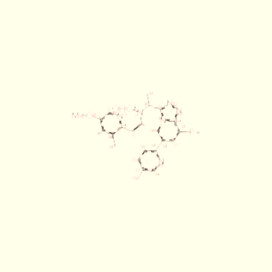 COc1cnc(/C=C\N(C=O)C(C)c2nnc3c(F)cc(-c4ccc(C)cn4)cn23)c(C)c1